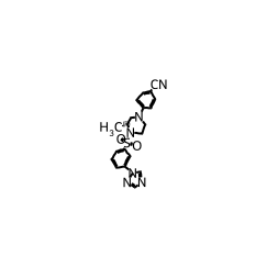 C[C@@H]1CN(c2ccc(C#N)cc2)CCN1S(=O)(=O)c1cccc(-n2cncn2)c1